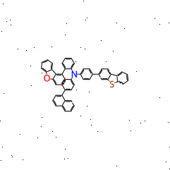 c1ccc(N(c2ccc(-c3ccc4c(c3)sc3ccccc34)cc2)c2ccc(-c3cccc4ccccc34)cc2)c(-c2cccc3oc4ccccc4c23)c1